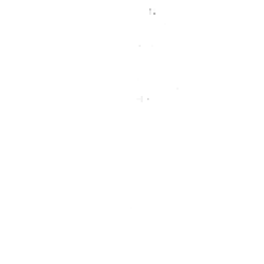 COCOc1ccc(-c2ccc(C(C)(C)NC(=O)OC3CN4CCC3CC4)cc2)cc1